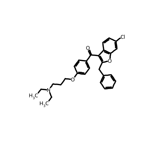 CCN(CC)CCCOc1ccc(C(=O)c2c(Cc3ccccc3)oc3cc(Cl)ccc23)cc1